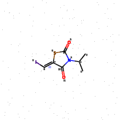 CC(C)N1C(=O)S/C(=C\I)C1=O